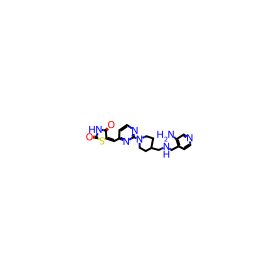 Nc1cnccc1CNCC1CCN(c2nccc(C=C3SC(=O)NC3=O)n2)CC1